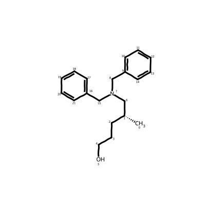 C[C@H](CCCO)CN(Cc1ccccc1)Cc1ccccc1